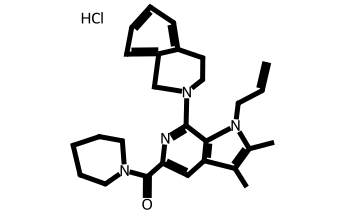 C=CCn1c(C)c(C)c2cc(C(=O)N3CCCCC3)nc(N3CCc4ccccc4C3)c21.Cl